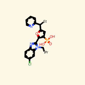 CCC(c1ccccn1)c1cc(P(=O)(O)O)c(-c2nc3ccc(Cl)cc3n2CC(C)C)o1